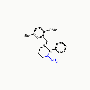 COc1ccc(C(C)(C)C)cc1C[C@@H]1CCCN(N)[C@@H]1c1ccccc1